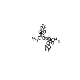 CC(CS(=O)(=O)c1cccc(C(F)(F)F)n1)C1CCN(C(=O)c2ccc(OC(F)(F)F)cc2S(C)(=O)=O)CC1